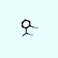 CC(N)c1ccccc1C=O